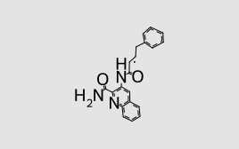 NC(=O)c1nc2ccccc2cc1NC(=O)[CH]CCc1ccccc1